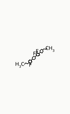 CCCCc1ccc(C2CCC(c3ccc(C4CCC(CCC)CC4)c(F)c3F)CC2)cc1F